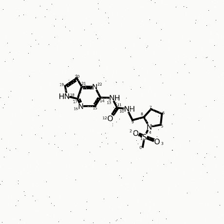 CS(=O)(=O)N1CCCC1CNC(=O)Nc1cnc2[nH]ccc2n1